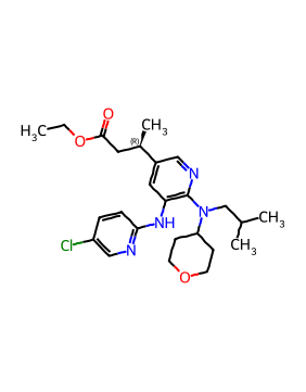 CCOC(=O)C[C@@H](C)c1cnc(N(CC(C)C)C2CCOCC2)c(Nc2ccc(Cl)cn2)c1